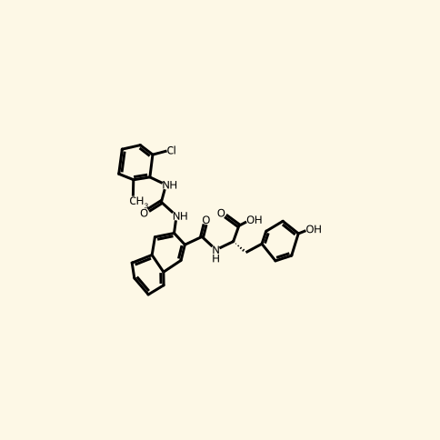 Cc1cccc(Cl)c1NC(=O)Nc1cc2ccccc2cc1C(=O)N[C@@H](Cc1ccc(O)cc1)C(=O)O